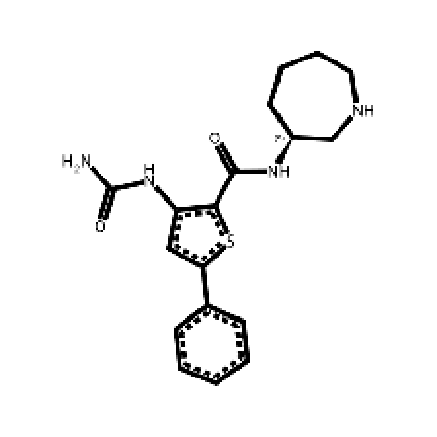 NC(=O)Nc1cc(-c2ccccc2)sc1C(=O)N[C@H]1CCCCNC1